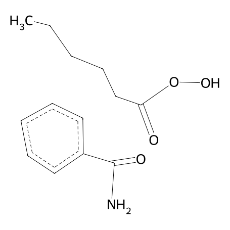 CCCCCC(=O)OO.NC(=O)c1ccccc1